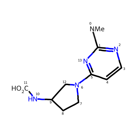 CNc1nccc(N2CCC(NC(=O)O)C2)n1